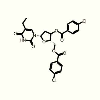 CCc1cn([C@@H]2CC(OC(=O)c3ccc(Cl)cc3)[C@H](COC(=O)c3ccc(Cl)cc3)O2)c(=O)[nH]c1=O